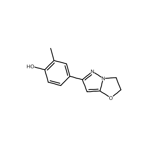 Cc1cc(-c2cc3n(n2)CCO3)ccc1O